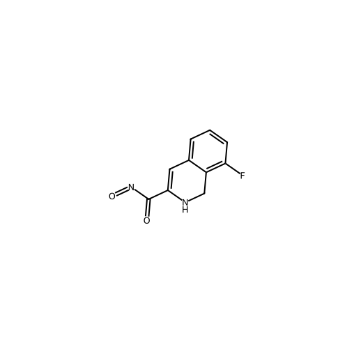 O=NC(=O)C1=Cc2cccc(F)c2CN1